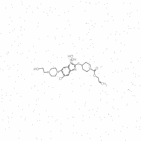 C=CCOC(=O)N1CCC(Sc2nc3cc(Cl)c(N4CCN(CCO)CC4)cc3[nH]2)CC1.Cl.Cl